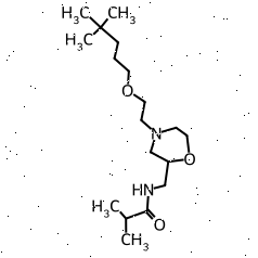 CC(C)C(=O)NCC1CN(CCOCCCC(C)(C)C)CCO1